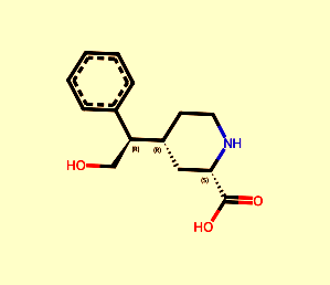 O=C(O)[C@@H]1C[C@H]([C@@H](CO)c2ccccc2)CCN1